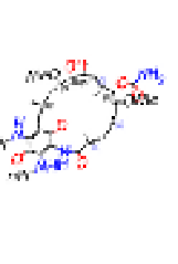 CCCNC1=C2C[C@@H](C)C[C@H](OC)[C@H](O)[C@@H](C)/C=C(\C)[C@H](OC(N)=O)[C@H](OC)/C=C\C=C(/C)C(=O)NC(=C(NCCC)C1=O)C2=O